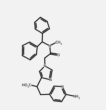 CN(C(=O)Cn1cnc(C(Cc2ccc(N)nc2)C(=O)O)c1)C(c1ccccc1)c1ccccc1